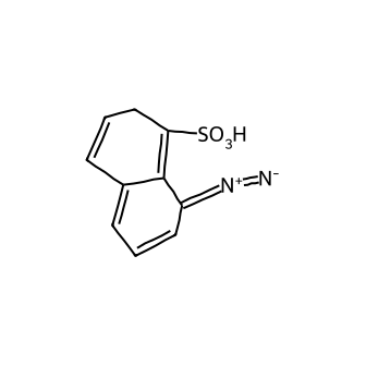 [N-]=[N+]=C1C=CC=C2C=CCC(S(=O)(=O)O)=C21